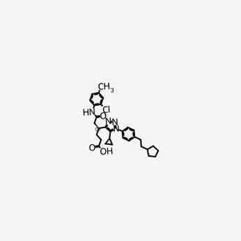 Cc1ccc(NC(=O)C[C@H](CCC(=O)O)c2nnn(-c3ccc(CCC4CCCC4)cc3)c2C2CC2)c(Cl)c1